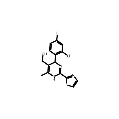 CC1=C(CO)C(c2ccc(F)cc2Cl)N=C(c2nccs2)N1